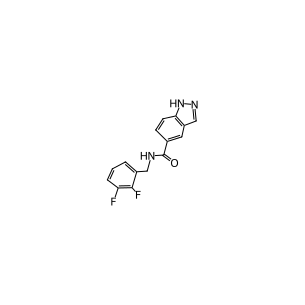 O=C(NCc1cccc(F)c1F)c1ccc2[nH]ncc2c1